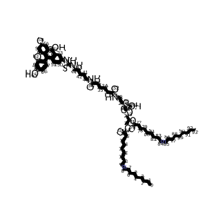 CCCCCCCC/C=C\CCCCCCCC(=O)OCC(COP(=O)(O)OCCNC(=O)CCCCC(=O)NCCCCCNC(=S)Nc1ccc(-c2c3ccc(=O)cc-3oc3cc(O)ccc23)c(C(=O)O)c1)OC(=O)CCCCCCC/C=C\CCCCCCCC